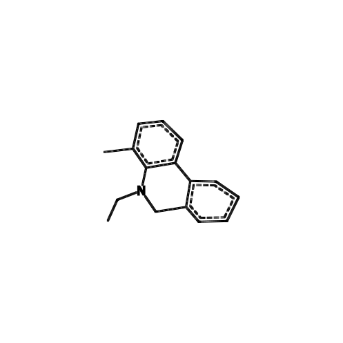 CCN1Cc2ccccc2-c2cccc(C)c21